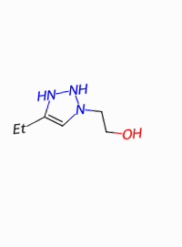 CCC1=CN(CCO)NN1